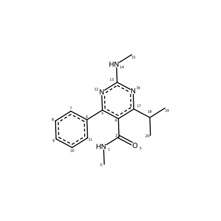 CNC(=O)c1c(-c2ccccc2)nc(NC)nc1C(C)C